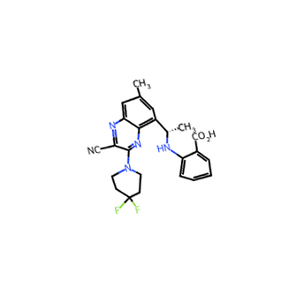 Cc1cc([C@H](C)Nc2ccccc2C(=O)O)c2nc(N3CCC(F)(F)CC3)c(C#N)nc2c1